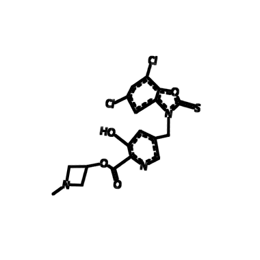 CN1CC(OC(=O)c2ncc(Cn3c(=S)oc4c(Cl)cc(Cl)cc43)cc2O)C1